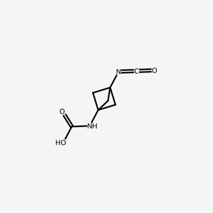 O=C=NC12CC(NC(=O)O)(C1)C2